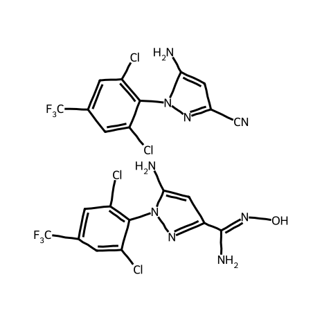 N#Cc1cc(N)n(-c2c(Cl)cc(C(F)(F)F)cc2Cl)n1.NC(=NO)c1cc(N)n(-c2c(Cl)cc(C(F)(F)F)cc2Cl)n1